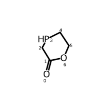 O=C1CPCCO1